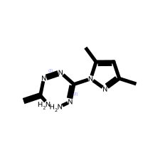 C=C(N)/N=N\C(=N/N)n1nc(C)cc1C